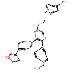 NCc1ccc(-c2ncc(OCCc3ccc(N)cc3)nc2-c2ccc(-c3ccoc3)cc2)cc1